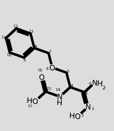 N/C(=N/O)C(COCc1ccccc1)NC(=O)O